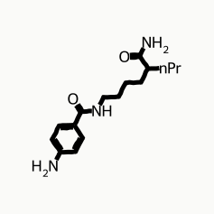 CCCC(CCCCNC(=O)c1ccc(N)cc1)C(N)=O